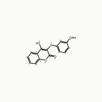 COc1cccc(Sc2c(O)c3ccccc3oc2=O)c1